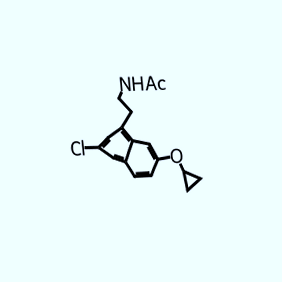 CC(=O)NCCc1cc(Cl)cc2ccc(OC3CC3)cc12